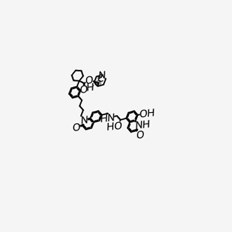 O=C(O[C@H]1CN2CCC1CC2)C1(c2cccc(CCCCn3c(=O)ccc4cc(CNCC(O)c5ccc(O)c6[nH]c(=O)ccc56)ccc43)c2)CCCCC1